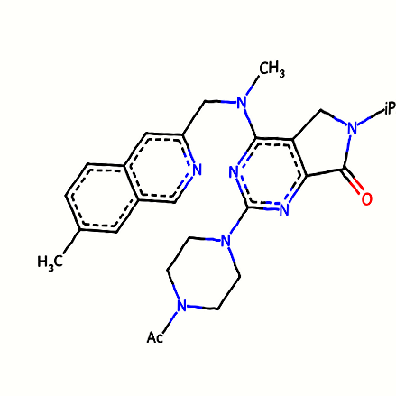 CC(=O)N1CCN(c2nc3c(c(N(C)Cc4cc5ccc(C)cc5cn4)n2)CN(C(C)C)C3=O)CC1